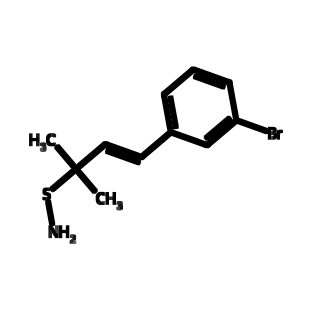 CC(C)(/C=C/c1cccc(Br)c1)SN